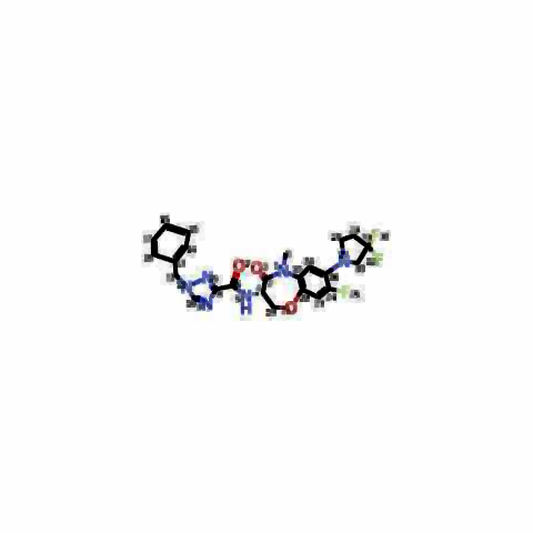 CN1C(=O)[C@@H](NC(=O)c2ncn(Cc3ccccc3)n2)COc2cc(F)c(N3CCC(F)(F)C3)cc21